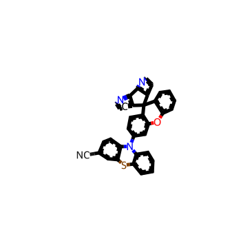 N#Cc1ccc2c(c1)Sc1ccccc1N2c1ccc2c(c1)Oc1ccccc1C21c2cccnc2-c2ncccc21